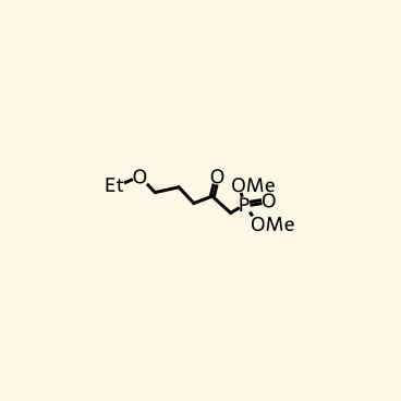 CCOCCCC(=O)CP(=O)(OC)OC